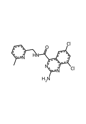 Cc1cccc(CNC(=O)c2nc(N)nc3c(Cl)cc(Cl)cc23)n1